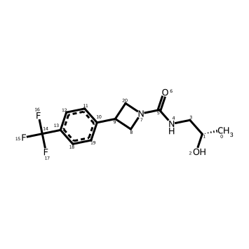 C[C@H](O)CNC(=O)N1CC(c2ccc(C(F)(F)F)cc2)C1